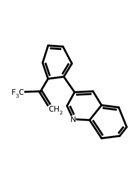 C=C(c1ccccc1-c1cnc2ccccc2c1)C(F)(F)F